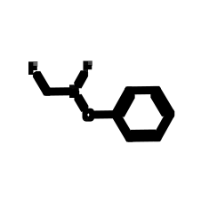 FCB(F)Oc1ccccc1